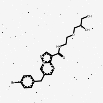 O=C(NCCOCC(O)CO)c1cnn2cc(Cc3ccc(Br)cc3)cnc12